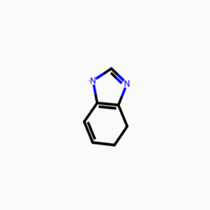 C1=CC2=C(CC1)N=C[N]2